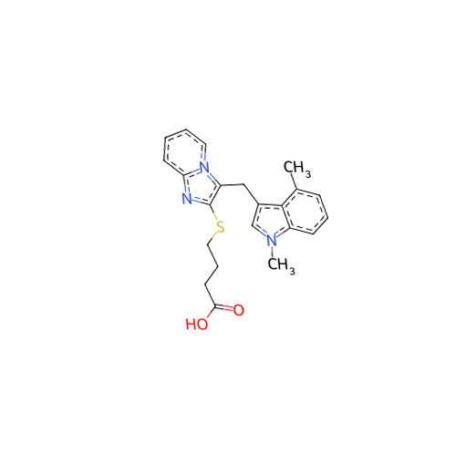 Cc1cccc2c1c(Cc1c(SCCCC(=O)O)nc3ccccn13)cn2C